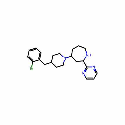 Brc1ccccc1CC1CCN(C2CCCNC(c3ncccn3)C2)CC1